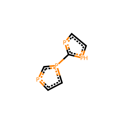 c1cp(-c2pcc[pH]2)cp1